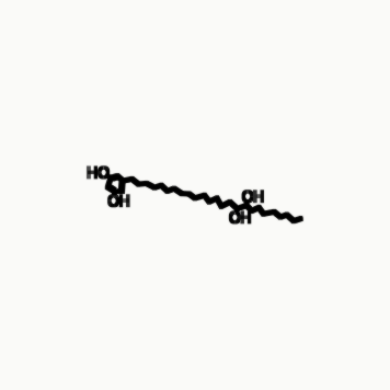 CCCCCCCCC(O)C(O)CCCCCCCCCCCCCCCc1cc(O)cc(O)c1